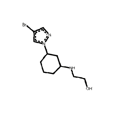 OCCNC1CCCC(n2cc(Br)cn2)C1